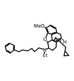 CCN(CCCCCCc1ccccc1)C1CC[C@@]2(O)[C@H]3Cc4ccc(OC)c5c4[C@@]2(CCN3CC2CC2)C1O5